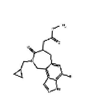 COC(=O)CC1Cc2cc(Br)c3[nH]ncc3c2CN(CC2CC2)C1=O